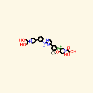 N#Cc1cc(-c2ccnc(Nc3cccc(C4CCN(C(CO)CO)CC4)c3)n2)ccc1OC1CCN(C(=O)C(O)O)CC1(F)F